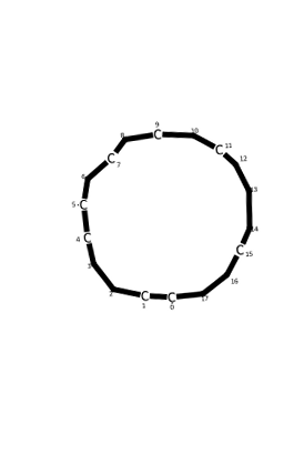 [CH]1CCCC[CH]CCCCCCCCCCCC1